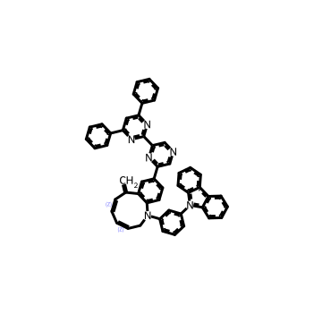 C=C1/C=C\C=C/CN(c2cccc(-n3c4ccccc4c4ccccc43)c2)c2ccc(-c3cncc(-c4nc(-c5ccccc5)cc(-c5ccccc5)n4)n3)cc21